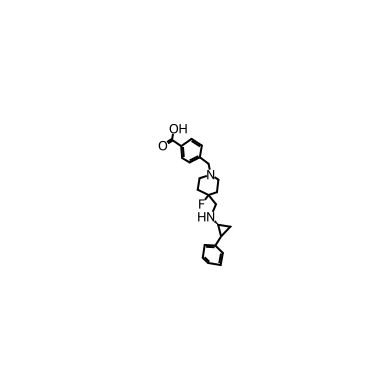 O=C(O)c1ccc(CN2CCC(F)(CN[C@H]3CC3c3ccccc3)CC2)cc1